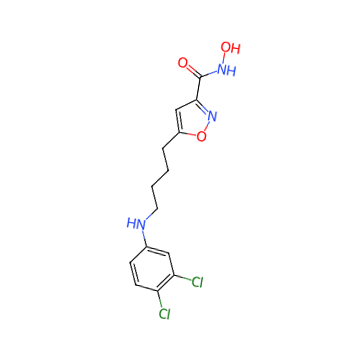 O=C(NO)c1cc(CCCCNc2ccc(Cl)c(Cl)c2)on1